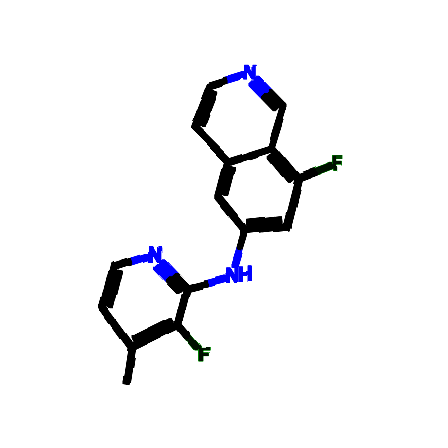 Cc1ccnc(Nc2cc(F)c3cnccc3c2)c1F